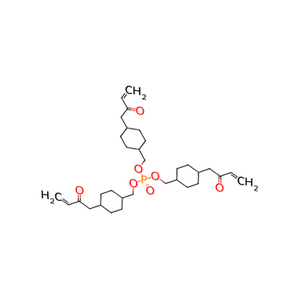 C=CC(=O)CC1CCC(COP(=O)(OCC2CCC(CC(=O)C=C)CC2)OCC2CCC(CC(=O)C=C)CC2)CC1